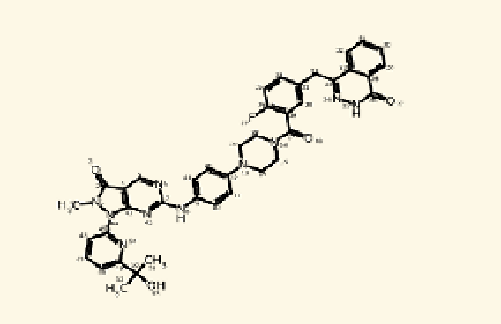 Cn1c(=O)c2cnc(Nc3ccc(N4CCN(C(=O)c5cc(Cc6n[nH]c(=O)c7ccccc67)ccc5F)CC4)cc3)nc2n1-c1cccc(C(C)(C)O)n1